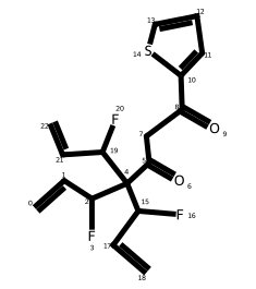 C=CC(F)C(C(=O)CC(=O)c1cccs1)(C(F)C=C)C(F)C=C